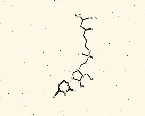 CC(C)OC(=O)CCCOP(=O)(O)OC[C@H]1O[C@@H](n2ccc(=O)[nH]c2=O)[C@H](O)[C@@H]1CO